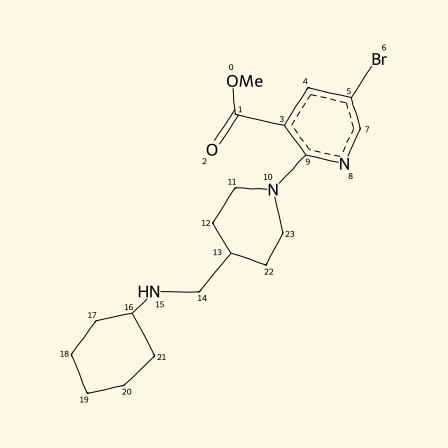 COC(=O)c1cc(Br)cnc1N1CCC(CNC2CCCCC2)CC1